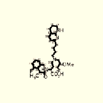 CO[C@H](CF)CN(CCCCc1ccc2c(n1)NCCC2)CC[C@H](NC(=O)C(C)c1c(F)cccc1F)C(=O)O